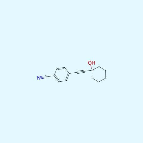 N#Cc1ccc(C#CC2(O)CCCCC2)cc1